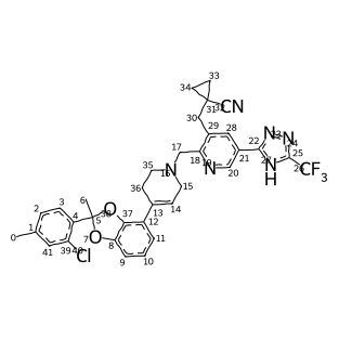 Cc1ccc(C2(C)Oc3cccc(C4=CCN(Cc5ncc(-c6nnc(C(F)(F)F)[nH]6)cc5CC5(C#N)CC5)CC4)c3O2)c(Cl)c1